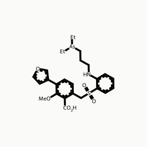 CC[As](CC)CCCNc1ccccc1S(=O)(=O)Cc1ccc(-c2ccoc2)c(OC)c1C(=O)O